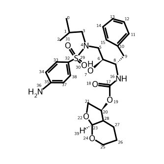 CC(C)CN(C[C@H](O)[C@H](Cc1ccccc1)NC(=O)O[C@@H]1CO[C@@H]2OCCCC21)S(=O)(=O)c1ccc(N)cc1